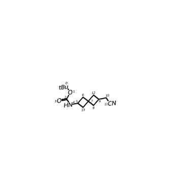 CC(C)(C)OC(=O)NC1CC2(CC(CC#N)C2)C1